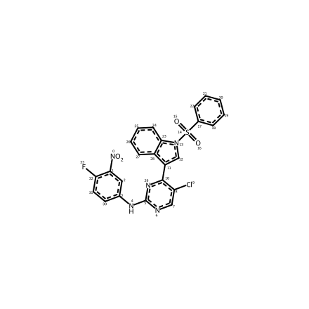 O=[N+]([O-])c1cc(Nc2ncc(Cl)c(-c3cn(S(=O)(=O)c4ccccc4)c4ccccc34)n2)ccc1F